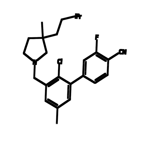 Cc1cc(CN2CCC(C)(CCC(C)C)C2)c(Cl)c(-c2ccc(C#N)c(F)c2)c1